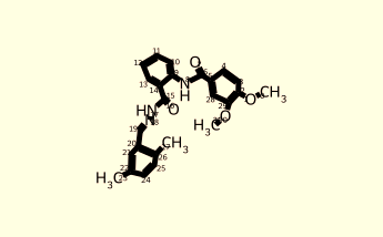 COc1ccc(C(=O)Nc2ccccc2C(=O)N/N=C/c2cc(C)ccc2C)cc1OC